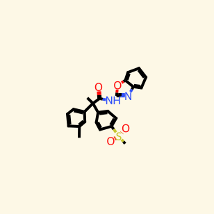 Cc1cccc(C(C)(C(=O)Nc2nc3ccccc3o2)c2ccc(S(C)(=O)=O)cc2)c1